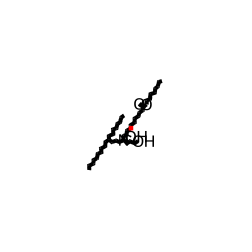 CCCCCCCCCCC(CCCCCCCC)CCCN(CCCO)C[C@H](O)CCCCCCCCC(=O)OCCCCCCCC